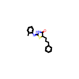 Cc1ccccc1/N=C1\NC(=O)C(CCCc2ccccc2)S1